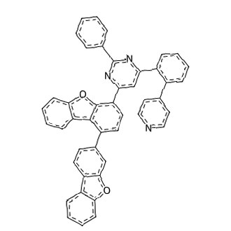 c1ccc(-c2nc(-c3ccccc3-c3ccncc3)cc(-c3ccc(-c4ccc5c(c4)oc4ccccc45)c4c3oc3ccccc34)n2)cc1